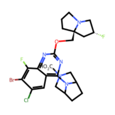 O=C(O)N1CC2CCC(C1)N2c1nc(OC[C@@]23CCCN2C[C@H](F)C3)nc2c(F)c(Br)c(Cl)cc12